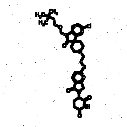 C[Si](C)(C)CCOCN1C(=O)C2(CCN(CCOc3ccc4c(c3)CN(C3CCC(=O)NC3=O)C4=O)CC2)c2cc(Cl)ccc21